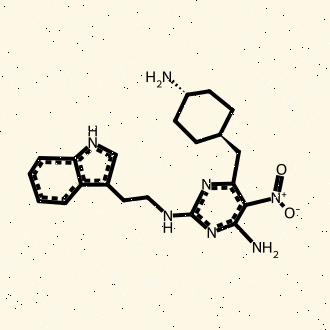 Nc1nc(NCCc2c[nH]c3ccccc23)nc(C[C@H]2CC[C@H](N)CC2)c1[N+](=O)[O-]